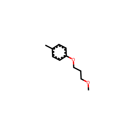 COCCCOc1ccc(C)cc1